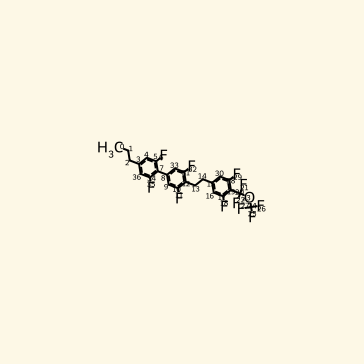 CCCc1cc(F)c(-c2cc(F)c(CCc3cc(F)c(C(F)(F)OC(F)(F)F)c(F)c3)c(F)c2)c(F)c1